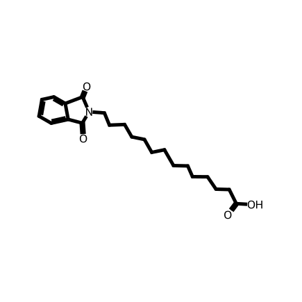 O=C(O)CCCCCCCCCCCCCN1C(=O)c2ccccc2C1=O